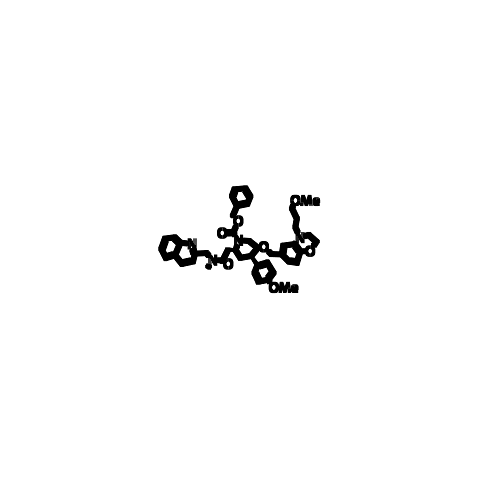 COCCCN1CCOc2ccc(CO[C@H]3CN(C(=O)OCc4ccccc4)[C@H](CC(=O)N(C)Cc4ccc5ccccc5n4)C[C@@H]3c3ccc(OC)cc3)cc21